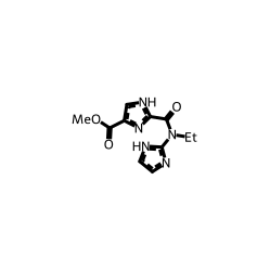 CCN(C(=O)c1nc(C(=O)OC)c[nH]1)c1ncc[nH]1